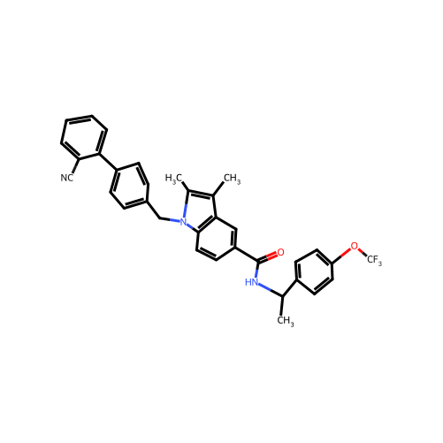 Cc1c(C)n(Cc2ccc(-c3ccccc3C#N)cc2)c2ccc(C(=O)NC(C)c3ccc(OC(F)(F)F)cc3)cc12